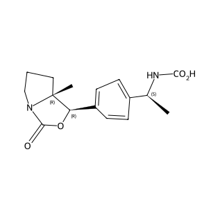 C[C@H](NC(=O)O)c1ccc([C@H]2OC(=O)N3CCC[C@]23C)cc1